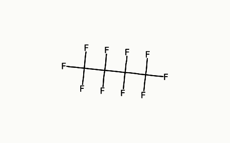 FC(F)(F)C(F)(F)C(F)(F)C(F)(F)F